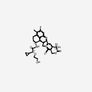 CC[C@@]1(O)C(=O)OCc2c1cc1n(c2=O)Cc2c-1nc1cc(F)c(C)c3c1c2[C@@H](NC(=O)[C@H](OCCO)C1CC1)CC3